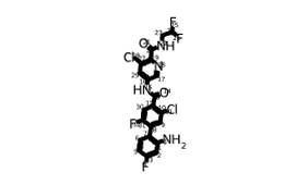 Nc1cc(F)ccc1-c1cc(Cl)c(C(=O)Nc2cnc(C(=O)NC[C](F)F)c(Cl)c2)cc1F